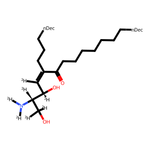 [2H]/C(=C(\CCCCCCCCCCCCC)C(=O)CCCCCCCCCCCCCCCCC)[C@@]([2H])(O)[C@@]([2H])(N([2H])[2H])C([2H])([2H])O